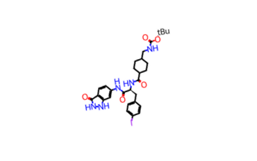 CC(C)(C)OC(=O)NCC1CCC(C(=O)N[C@@H](Cc2ccc(I)cc2)C(=O)Nc2ccc3c(=O)[nH][nH]c3c2)CC1